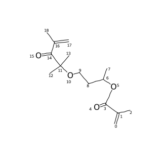 C=C(C)C(=O)OC(C)CCOC(C)(C)C(=O)C(=C)C